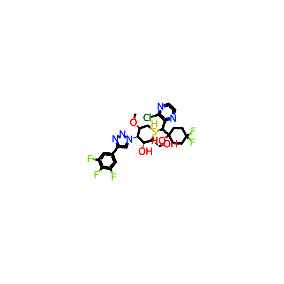 CO[C@H]1C[SH](C(c2nccnc2Cl)C2(O)CCC(F)(F)CC2)[C@H](CO)[C@H](O)[C@@H]1n1cc(-c2cc(F)c(F)c(F)c2)nn1